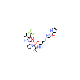 CC(C)[C@H](NC(=O)CCCCCNC(=O)c1ccccn1)C(=O)N1CCCC1C(=O)N[C@H](C(=O)C(F)(F)F)C(C)C